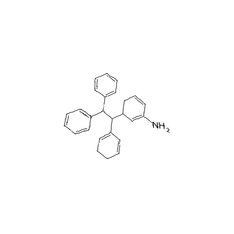 NC1=CC(C(C2=CCCC=C2)C(c2ccccc2)c2ccccc2)CC=C1